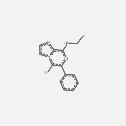 CC(C)CNc1nc(-c2ccccc2)c(Br)n2ccnc12